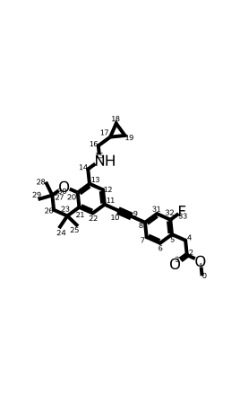 COC(=O)Cc1ccc(C#Cc2cc(CNCC3CC3)c3c(c2)C(C)(C)CC(C)(C)O3)cc1F